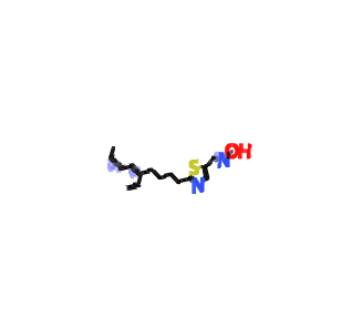 C=C/C(=C\C=C/C)CCCCc1ncc(/C=N/O)s1